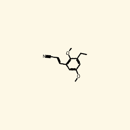 CCc1cc(OC)cc(C=CC#N)c1OC